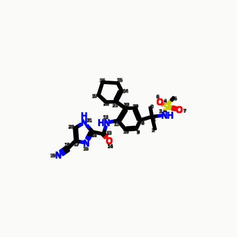 CC(C)(NS(C)(=O)=O)c1ccc(NC(=O)c2nc(C#N)c[nH]2)c(C2=CCCCC2)c1